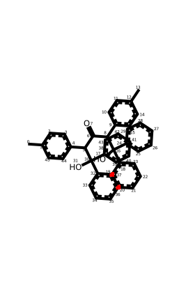 Cc1ccc(C(C(=O)C(c2ccc(C)cc2)C(O)(c2ccccc2)c2ccccc2)C(O)(c2ccccc2)c2ccccc2)cc1